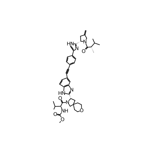 C=C1C[C@@H](c2nc(-c3ccc(C#Cc4ccc5[nH]c([C@@H]6CC7(CCOCC7)CN6C(=O)[C@@H](NC(=O)OC)C(C)C)nc5c4)cc3)c[nH]2)N(C(=O)[C@@H](C)C(C)C)C1